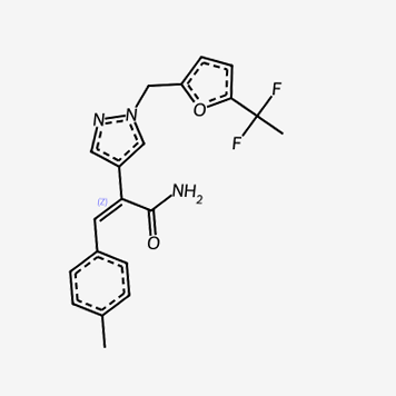 Cc1ccc(/C=C(\C(N)=O)c2cnn(Cc3ccc(C(C)(F)F)o3)c2)cc1